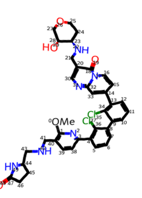 COc1nc(-c2cccc(-c3cccc(-c4ccn5c(=O)c(CN[C@@H]6CCOC[C@@H]6O)cnc5c4)c3Cl)c2Cl)ccc1CNCC1CCC(=O)N1